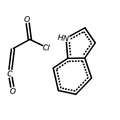 O=C=CC(=O)Cl.c1ccc2[nH]ccc2c1